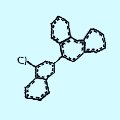 Clc1cc(-c2cc3ccccc3c3ccccc23)cc2ccccc12